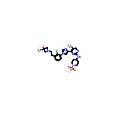 CC1(O)CN(CCc2cccc(-n3cnc(-c4nc(NC5CCN(S(C)(=O)=O)CC5)ncc4C(F)(F)F)c3)c2Cl)C1